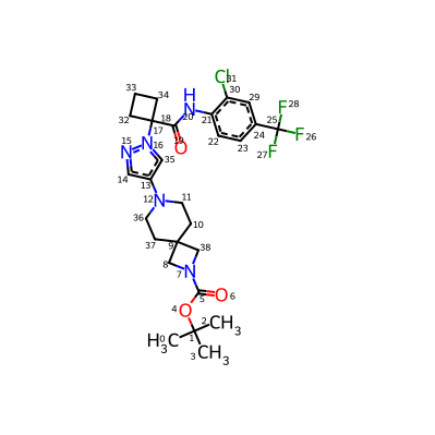 CC(C)(C)OC(=O)N1CC2(CCN(c3cnn(C4(C(=O)Nc5ccc(C(F)(F)F)cc5Cl)CCC4)c3)CC2)C1